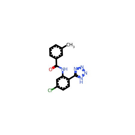 Cc1cccc(C(=O)Nc2cc(Cl)ccc2-c2nnn[nH]2)c1